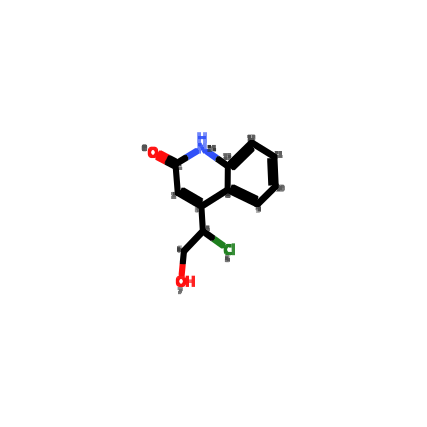 O=c1cc(C(Cl)CO)c2ccccc2[nH]1